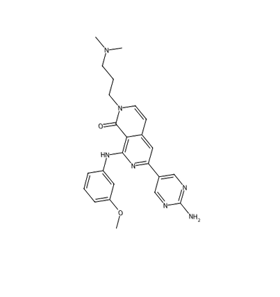 COc1cccc(Nc2nc(-c3cnc(N)nc3)cc3ccn(CCCN(C)C)c(=O)c23)c1